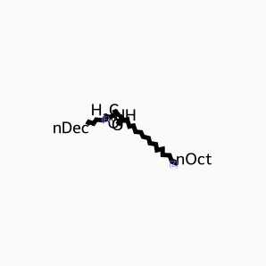 CCCCCCCC/C=C\CCCCCCCCCCCCCC(=O)NC(C)[C@H](O)/C=C/CCCCCCCCCCCCC